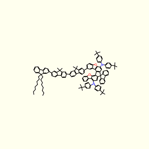 CCCCCCCCC1(CCCCCCCC)c2ccccc2-c2ccc(-c3ccc4c(c3)C(C)(C)c3cc(-c5ccc6c(c5)C(C)(C)c5cc(-c7ccc8oc9c(N(c%10ccc(C(C)(C)C)cc%10)c%10ccc(C(C)(C)C)cc%10)cc%10c(c9c8c7)-c7c(cc(N(c8ccc(C(C)(C)C)cc8)c8ccc(C(C)(C)C)cc8)c8c7oc7ccccc78)C%107c8ccccc8-c8ccccc87)ccc5-6)ccc3-4)cc21